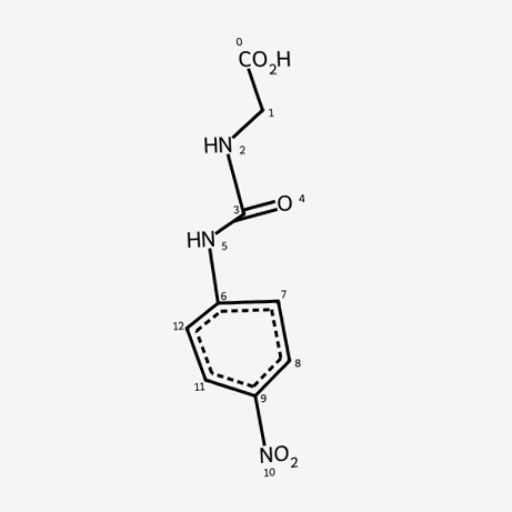 O=C(O)CNC(=O)Nc1ccc([N+](=O)[O-])cc1